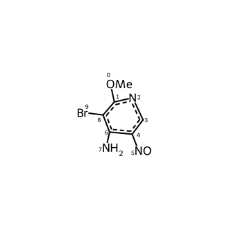 COc1ncc(N=O)c(N)c1Br